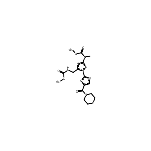 CN(C(=O)OC(C)(C)C)c1nc(CNC(=O)OC(C)(C)C)n(-c2ncc(C(=O)N3CCOCC3)s2)n1